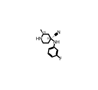 C[C@H]1C[C@@](C#N)(Nc2cccc(F)c2)CCN1